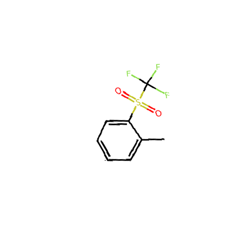 Cc1c[c]ccc1S(=O)(=O)C(F)(F)F